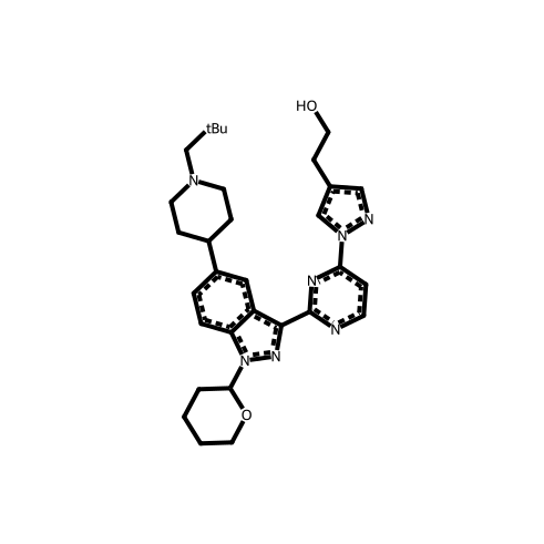 CC(C)(C)CN1CCC(c2ccc3c(c2)c(-c2nccc(-n4cc(CCO)cn4)n2)nn3C2CCCCO2)CC1